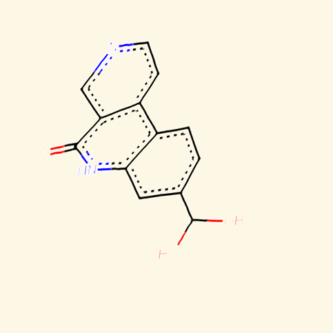 O=c1[nH]c2cc(C(O)O)ccc2c2ccncc12